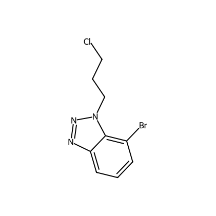 ClCCCn1nnc2cccc(Br)c21